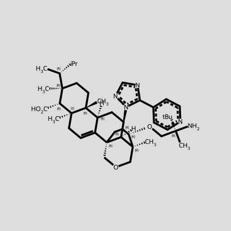 CC(C)[C@@H](C)[C@@]1(C)CC[C@]2(C)[C@H]3CC[C@@H]4[C@@]5(COC[C@]4(C)[C@@H](OC[C@](C)(N)C(C)(C)C)[C@H](n4ncnc4-c4ccncc4)C5)C3=CC[C@@]2(C)[C@@H]1C(=O)O